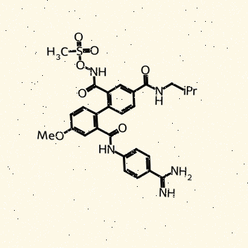 COc1ccc(-c2ccc(C(=O)NCC(C)C)cc2C(=O)NOS(C)(=O)=O)c(C(=O)Nc2ccc(C(=N)N)cc2)c1